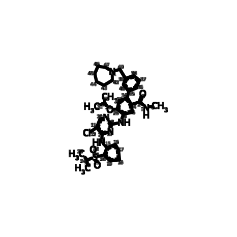 CNC(=O)c1cc(Nc2ncc(Cl)c(Nc3ccccc3S(=O)(=O)C(C)C)n2)c(OC(C)C)cc1-c1cccc(CN2CCCCCC2)c1